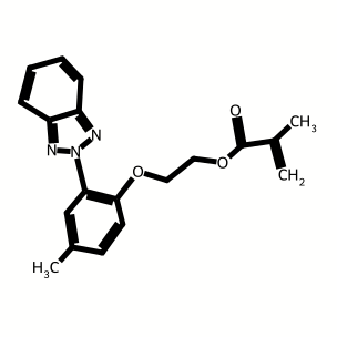 C=C(C)C(=O)OCCOc1ccc(C)cc1-n1nc2ccccc2n1